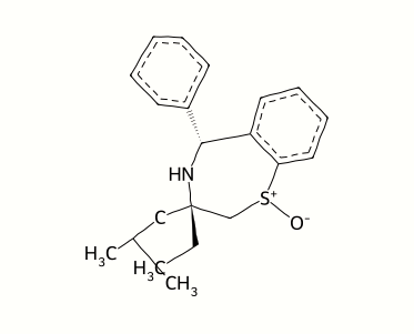 CC[C@]1(CC(C)C)C[S+]([O-])c2ccccc2[C@@H](c2ccccc2)N1